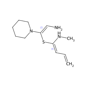 C=C/C=C(\NC)S/C(=C\N)N1CCCCC1